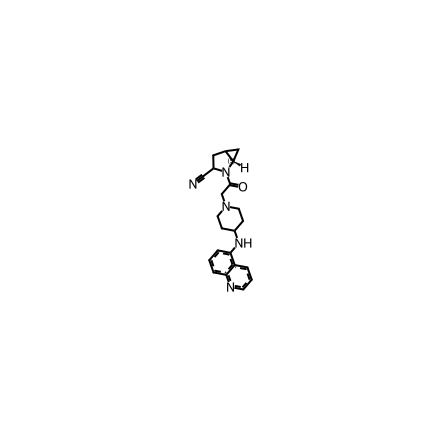 N#CC1CC2C[C@@H]2N1C(=O)CN1CCC(Nc2cccc3ncccc23)CC1